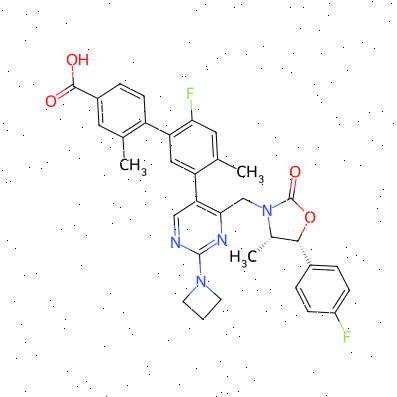 Cc1cc(C(=O)O)ccc1-c1cc(-c2cnc(N3CCC3)nc2CN2C(=O)O[C@H](c3ccc(F)cc3)[C@@H]2C)c(C)cc1F